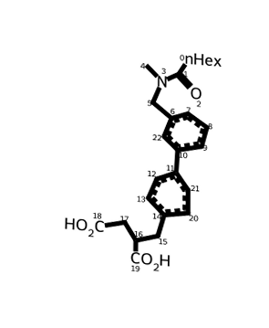 CCCCCCC(=O)N(C)Cc1cccc(-c2ccc(CC(CC(=O)O)C(=O)O)cc2)c1